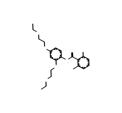 CCOCCOc1ccc(PC(=O)c2c(C)cccc2Cl)c(OCCOCC)c1.[LiH]